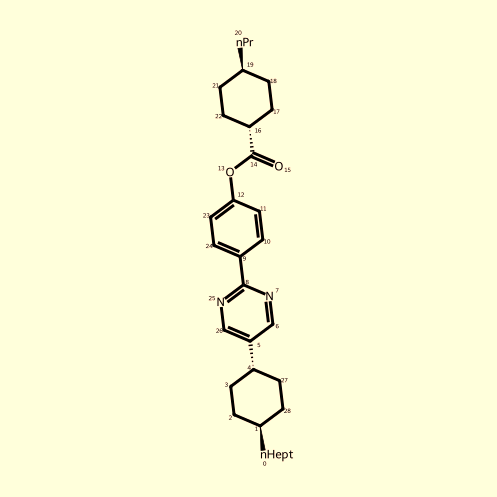 CCCCCCC[C@H]1CC[C@H](c2cnc(-c3ccc(OC(=O)[C@H]4CC[C@H](CCC)CC4)cc3)nc2)CC1